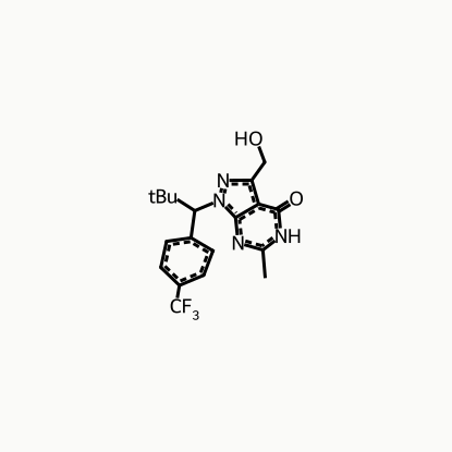 Cc1nc2c(c(CO)nn2C(c2ccc(C(F)(F)F)cc2)C(C)(C)C)c(=O)[nH]1